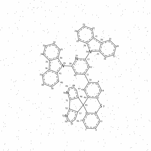 c1ccc2c(c1)Sc1ccc(-c3cc(-n4c5ccccc5c5ccccc54)nc(-n4c5ccccc5c5ccccc54)c3)cc1C21c2cccnc2-c2ncccc21